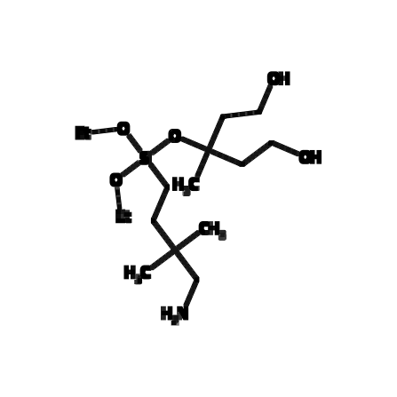 CCO[Si](CCC(C)(C)CN)(OCC)OC(C)(CCO)CCO